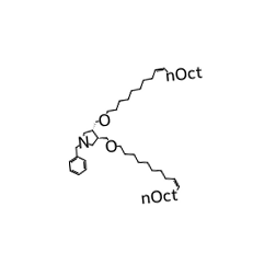 CCCCCCCC/C=C\CCCCCCCCOC[C@H]1CN(Cc2ccccc2)C[C@@H]1COCCCCCCCC/C=C\CCCCCCCC